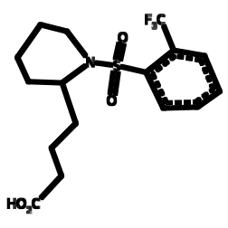 O=C(O)CCCC1CCCCN1S(=O)(=O)c1ccccc1C(F)(F)F